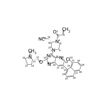 C=CC(=O)N1CCN(c2nc(OC[C@@H]3CCCN3C)nc3cc(-c4cccc5cccc(Cl)c45)cnc23)C[C@@H]1CC#N